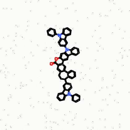 O=c1oc2cc3c(cc2c2cc4c(cc12)CCC(c1ccc2c(c1)c1ccccc1n2-c1ccccc1)c1ccccc1-4)c1ccccc1n3-c1ccc2c(c1)c1ccccc1n2-c1ccccc1